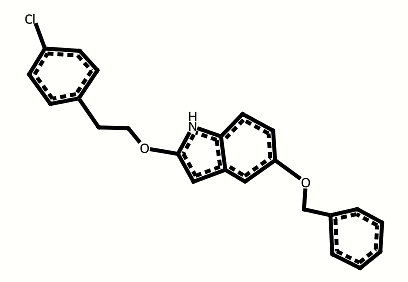 Clc1ccc(CCOc2cc3cc(OCc4ccccc4)ccc3[nH]2)cc1